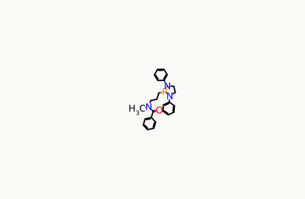 CN(CCCP1N(c2ccccc2)CCN1c1ccccc1)C(=O)c1ccccc1